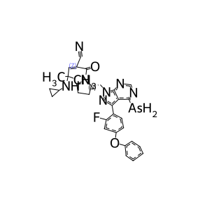 CC(C)(/C=C(/C#N)C(=O)N1CCC[C@H]1Cn1nc(-c2ccc(Oc3ccccc3)cc2F)c2c([AsH2])ncnc21)NC1CC1